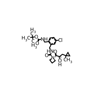 CC1(C[C@@H](O)C(=O)[N+]2(C(=O)NCc3cc(Cl)ccc3CNC(=O)OC(C)(C)C)CCC2)CC1